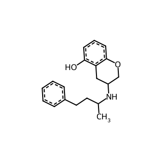 CC(CCc1ccccc1)NC1COc2cccc(O)c2C1